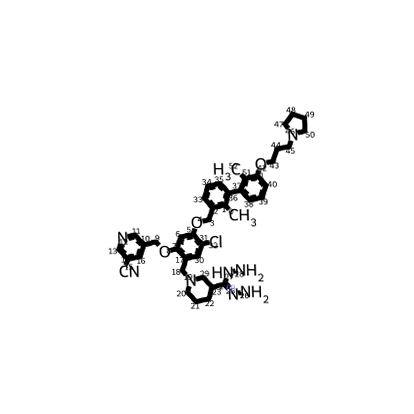 Cc1c(COc2cc(OCc3cncc(C#N)c3)c(CN3CCCC(/C(=N/N)NN)C3)cc2Cl)cccc1-c1cccc(OCCCN2CCCC2)c1C